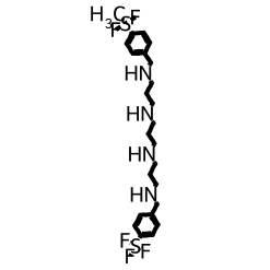 CS(F)(F)c1ccc(CNCCCNCCCNCCCNCc2ccc(S(F)(F)F)cc2)cc1